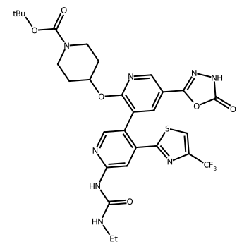 CCNC(=O)Nc1cc(-c2nc(C(F)(F)F)cs2)c(-c2cc(-c3n[nH]c(=O)o3)cnc2OC2CCN(C(=O)OC(C)(C)C)CC2)cn1